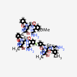 CCC(NC(=O)c1ccc(F)cc1CCCN)c1cc2c(Br)c(C)nn2c(=O)n1Cc1ccccc1.CCC(NC(=O)c1ccc(OC)cc1CCCN)c1cc2c(Br)c(C)nn2c(=O)n1Cc1ccccc1.CCC(c1cc2c(Br)c(C)nn2c(=O)n1Cc1ccccc1)N(CCCN)C(=O)c1cccc(C)c1